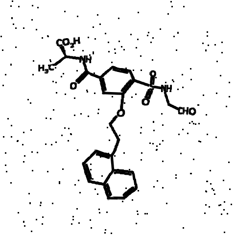 C[C@H](NC(=O)c1ccc(S(=O)(=O)NCC=O)c(OCCc2cccc3ccccc23)c1)C(=O)O